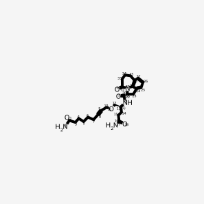 NC(=O)CCCCCC#CCOC[C@H](CCC(N)=O)NC(=O)[C@@H]1Cc2cccc3c2N1C(=O)CCC3